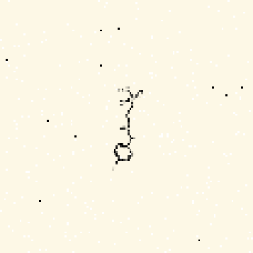 C[C@@H](NCCCS(=O)(=O)O)c1ccc(F)cc1